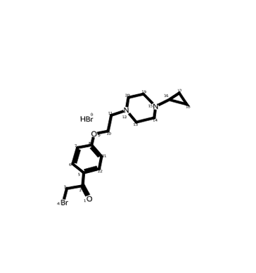 Br.O=C(CBr)c1ccc(OCCN2CCN(C3CC3)CC2)cc1